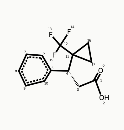 O=C(O)C[C@H](c1ccccc1)C1(C(F)(F)F)CC1